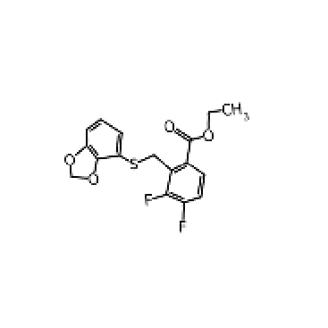 CCOC(=O)c1ccc(F)c(F)c1CSc1cccc2c1OCO2